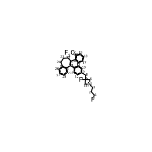 FCCCN1CC(F)(Cc2ccc(C3=C(c4ccccc4C(F)(F)F)CCCc4ccccc43)cc2)C1